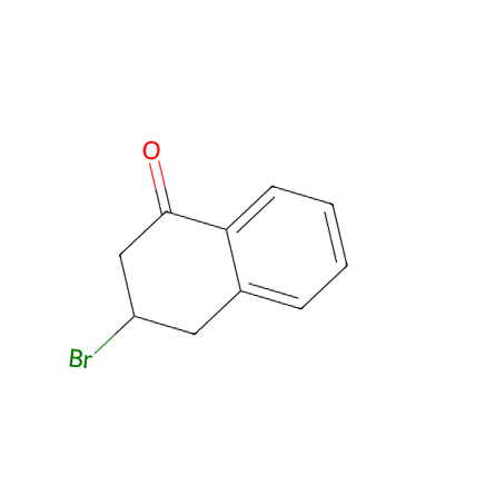 O=C1CC(Br)Cc2ccccc21